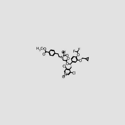 COC(=O)c1ccc(CCN(CC(=O)O[C@@H](Cc2c(Cl)c[n+]([O-])cc2Cl)c2ccc(OC(F)F)c(OCC3CC3)c2)[SH](=O)=O)cc1